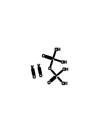 O=P(O)(O)OP(=O)(O)O.[O]=[V].[O]=[V]